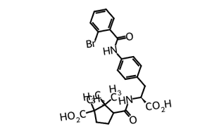 CC1(C(=O)O)CCC(C(=O)N[C@@H](Cc2ccc(NC(=O)c3ccccc3Br)cc2)C(=O)O)C1(C)C